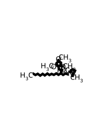 CCCCCCCCCCCCCC(CCCN1C(C)CCCC1C)C(=O)Cc1c(OC)cc(OC)cc1OC